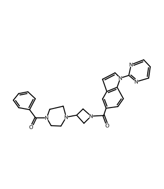 O=C(c1ccccc1)N1CCN(C2CN(C(=O)c3ccc4c(ccn4-c4ncccn4)c3)C2)CC1